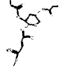 CCC(=O)OC1C[C@H](OC(=O)CC)CO[C@@H]1OC(=O)/C=C/C(=O)OC